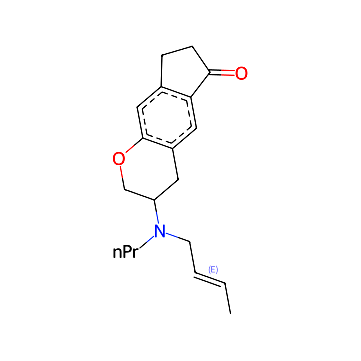 C/C=C/CN(CCC)C1COc2cc3c(cc2C1)C(=O)CC3